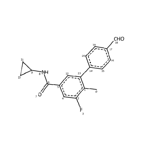 Cc1c(F)cc(C(=O)NC2CC2)cc1-c1ccc(C=O)cc1